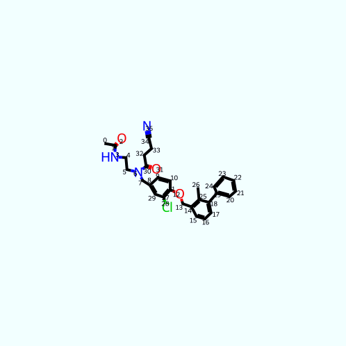 CC(=O)NCCN(Cc1ccc(OCc2cccc(-c3ccccc3)c2C)c(Cl)c1)C(=O)CCC#N